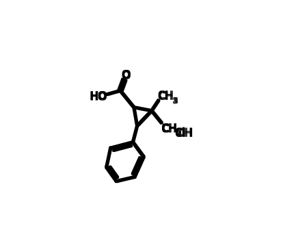 CC1(C)C(C(=O)O)C1c1ccccc1.Cl